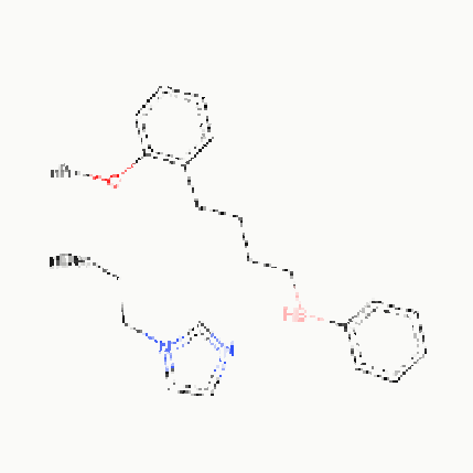 CCCCCCCCCCCCn1ccnc1.CCCOc1ccccc1CCCCBc1ccccc1